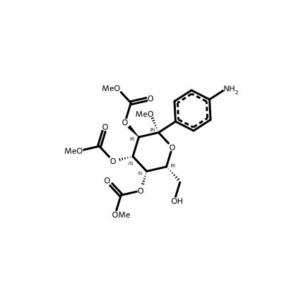 COC(=O)O[C@@H]1[C@H](OC(=O)OC)[C@@H](OC(=O)OC)[C@@](OC)(c2ccc(N)cc2)O[C@@H]1CO